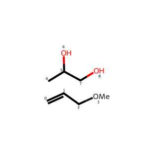 C=CCOC.CC(O)CO